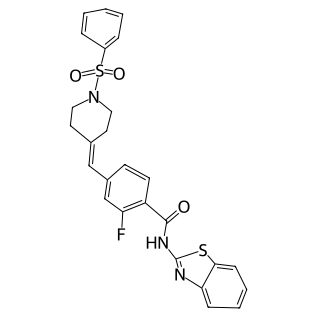 O=C(Nc1nc2ccccc2s1)c1ccc(C=C2CCN(S(=O)(=O)c3ccccc3)CC2)cc1F